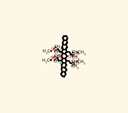 CCO[Si](C)(C)CCc1c2c(c(CC[Si](C)(C)OCC)c3cc4cc5ccccc5cc4cc13)C(=O)c1c(c(CC[Si](C)(C)OCC)c3cc4cc5ccccc5cc4cc3c1CC[Si](C)(C)OCC)C2=O